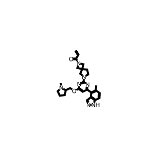 C=CC(=O)N1CC2(CCN(c3nc(OCC4CCCN4C)cc(-c4c(C)ccc5[nH]ncc45)n3)C2)C1